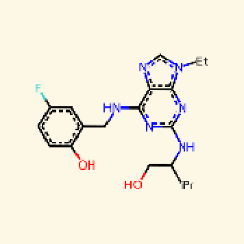 CCn1cnc2c(NCc3cc(F)ccc3O)nc(NC(CO)C(C)C)nc21